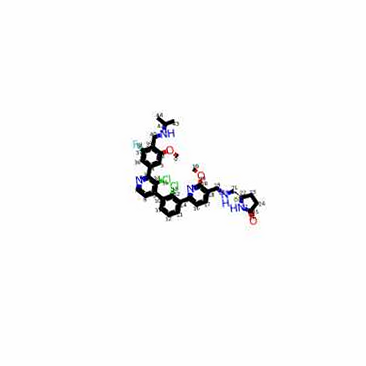 COc1cc(-c2nccc(-c3cccc(-c4ccc(CNC[C@@H]5CCC(=O)N5)c(OC)n4)c3Cl)c2Cl)cc(F)c1CNC(C)C